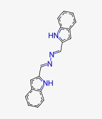 C(=N\N=C\c1cc2ccccc2[nH]1)/c1cc2ccccc2[nH]1